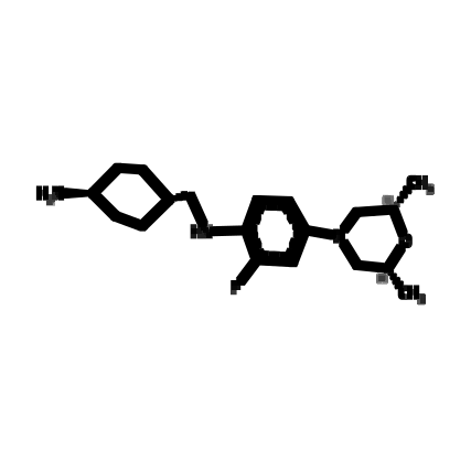 C[C@@H]1CN(c2ccc(NC[C@H]3CC[C@H](N)CC3)c(F)c2)C[C@H](C)O1